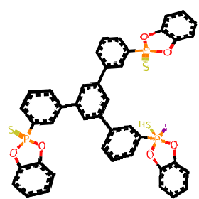 S=P1(c2cccc(-c3cc(-c4cccc(P5(=S)Oc6ccccc6O5)c4)cc(-c4cccc(P5(S)(I)Oc6ccccc6O5)c4)c3)c2)Oc2ccccc2O1